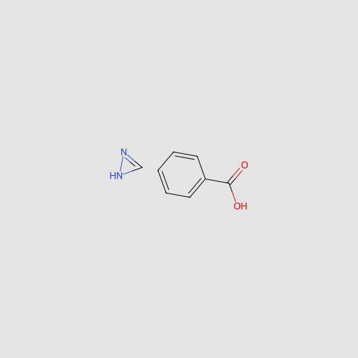 C1=NN1.O=C(O)c1ccccc1